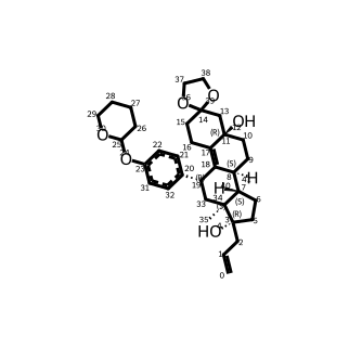 C=CC[C@]1(O)CC[C@H]2[C@@H]3CC[C@@]4(O)CC5(CCC4=C3[C@@H](c3ccc(OC4CCCCO4)cc3)C[C@@]21C)OCCO5